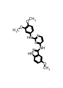 COc1ccc2[nH]nc(Nc3ccnc(Nc4ccc(OC)c(OC)c4)n3)c2c1